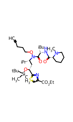 C#CCCCON(C(=O)[C@@H](NC(=O)[C@H]1CCCCN1C)[C@@H](C)CC)[C@H](C[C@@H](O[Si](C)(C)C(C)(C)C)c1nc(C(=O)OCC)cs1)C(C)C